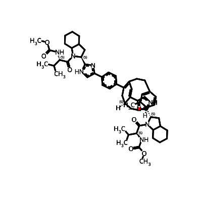 COC(=O)N[C@H](C(=O)N1C2CCCCC2C[C@H]1c1nc(C2=CC3=C(c4ccc(-c5c[nH]c([C@@H]6CC7CCCCC7N6C(=O)[C@@H](NC(=O)OC)C(C)C)n5)cc4)C[C@@H]2CC[C@@H]2C=CC(=CC2C)CC3)c[nH]1)C(C)C